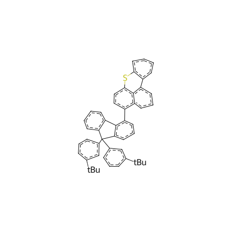 CC(C)(C)c1cccc(C2(c3cccc(C(C)(C)C)c3)c3ccccc3-c3c(-c4ccc5c6c(cccc46)-c4ccccc4S5)cccc32)c1